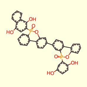 O=P1(c2cc(O)ccc2O)Oc2ccccc2-c2ccc(-c3ccc4c(c3)OP(=O)(c3cc(O)c5ccccc5c3O)c3ccccc3-4)cc21